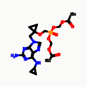 CC(C)(C)C(=O)OCOP(=O)(COC1(Cn2cnc3c(NC4CC4)nc(N)nc32)CC1)OCOC(=O)C(C)(C)C